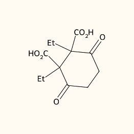 CCC1(C(=O)O)C(=O)CCC(=O)C1(CC)C(=O)O